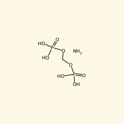 N.O=P(O)(O)OCOP(=O)(O)O